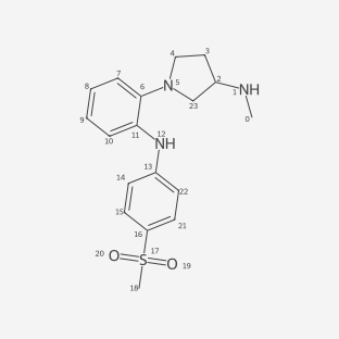 CNC1CCN(c2ccccc2Nc2ccc(S(C)(=O)=O)cc2)C1